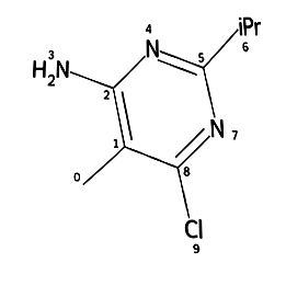 Cc1c(N)nc(C(C)C)nc1Cl